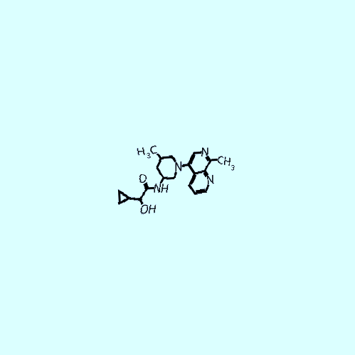 Cc1ncc(N2CC(C)CC(NC(=O)C(O)C3CC3)C2)c2cccnc12